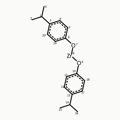 CC(C)c1ccc([O][Zr][O]c2ccc(C(C)C)cc2)cc1